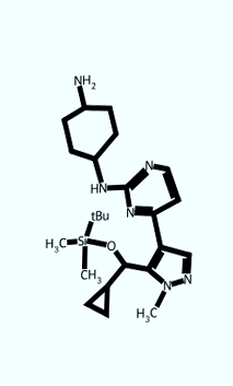 Cn1ncc(-c2ccnc(NC3CCC(N)CC3)n2)c1C(O[Si](C)(C)C(C)(C)C)C1CC1